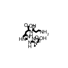 CN(CC(=O)O)C(=N)N.NCCC(=O)NC(Cc1c[nH]cn1)C(=O)O